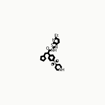 CCc1ccc2nc(NC(=O)C(CC3CCCC3)c3ccc(S(=O)(=O)C4CCNCC4)cc3)sc2n1